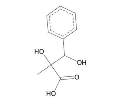 CC(O)(C(=O)O)C(O)c1ccccc1